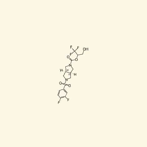 O=C(OC(CO)C(F)(F)F)N1C[C@@H]2CN(S(=O)(=O)c3ccc(F)c(F)c3)C[C@@H]2C1